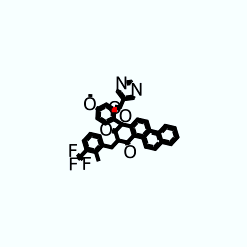 COc1ccc(C2(OC(=O)c3cncnc3)C(=O)C(Cc3cccc(C(F)(F)F)c3C)C(=O)c3c2ccc2c3ccc3ccccc32)cc1